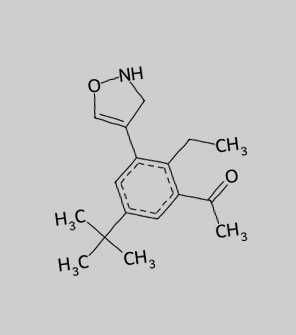 CCc1c(C(C)=O)cc(C(C)(C)C)cc1C1=CONC1